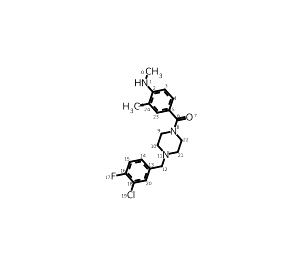 CNc1ccc(C(=O)N2CCN(Cc3ccc(F)c(Cl)c3)CC2)cc1C